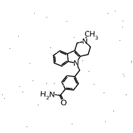 CN1CCc2c(c3ccccc3n2Cc2ccc(C(N)=O)cc2)C1